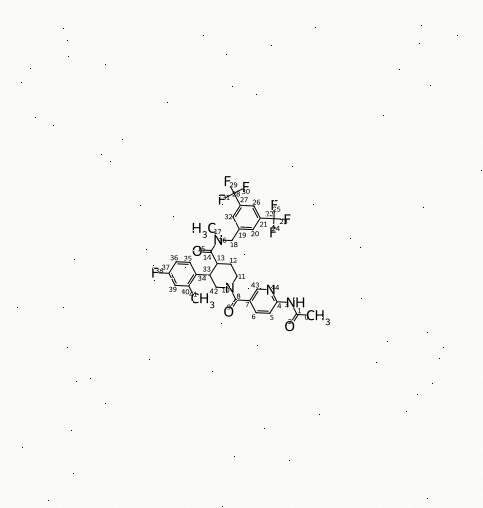 CC(=O)Nc1ccc(C(=O)N2CCC(C(=O)N(C)Cc3cc(C(F)(F)F)cc(C(F)(F)F)c3)C(c3ccc(F)cc3C)C2)cn1